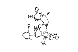 CC1(C)[C@H]2CC[C@]1(CN(CC(F)F)C(=O)c1ccc(=O)[nH]n1)c1nnc(-c3c(F)cccc3F)cc12